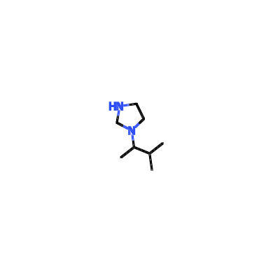 CC(C)C(C)N1CCNC1